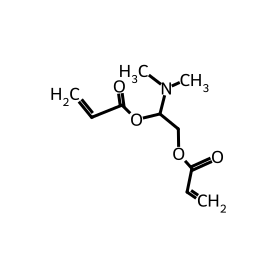 C=CC(=O)OCC(OC(=O)C=C)N(C)C